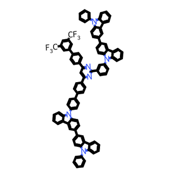 FC(F)(F)c1cc(-c2ccc(-c3cc(-c4ccc(-c5ccc(-n6c7ccccc7c7cc(-c8ccc9c(c8)c8ccccc8n9-c8ccccc8)ccc76)cc5)cc4)nc(-c4cccc(-n5c6ccccc6c6cc(-c7ccc8c(c7)c7ccccc7n8-c7ccccc7)ccc65)c4)n3)cc2)cc(C(F)(F)F)c1